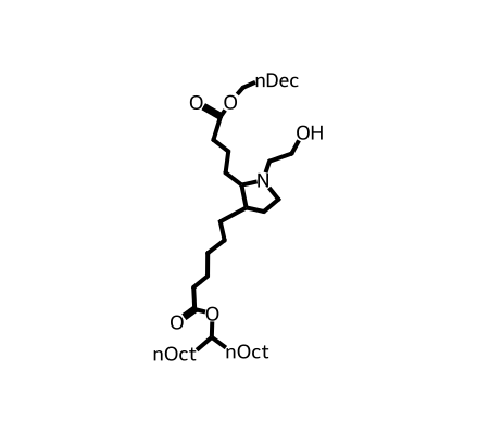 CCCCCCCCCCCOC(=O)CCCC1C(CCCCCC(=O)OC(CCCCCCCC)CCCCCCCC)CCN1CCO